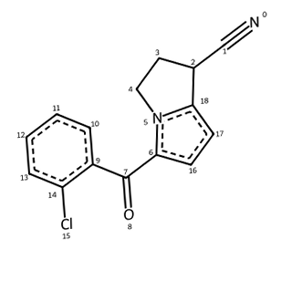 N#CC1CCn2c(C(=O)c3ccccc3Cl)ccc21